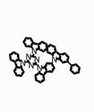 c1ccc(-c2ccc3c4ccccc4n(-c4ccc5c6ccccc6n(-c6nc(-n7c8ccccc8c8ccccc87)nc(-n7c8ccccc8c8ccccc87)n6)c5c4)c3c2)cc1